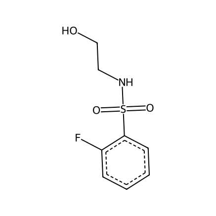 O=S(=O)(NCCO)c1ccccc1F